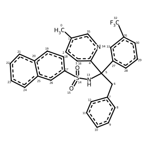 Cc1ccc(C(Cc2ccccc2)(NS(=O)(=O)c2ccc3ccccc3c2)c2cccc(C(F)(F)F)c2)nc1